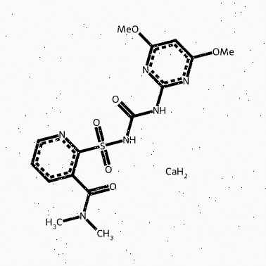 COc1cc(OC)nc(NC(=O)NS(=O)(=O)c2ncccc2C(=O)N(C)C)n1.[CaH2]